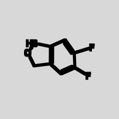 Fc1cc2c(cc1F)COB2